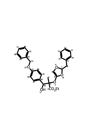 CCOC(=O)C(C)(OC1=COC(Cc2ccccc2)O1)C(O)c1ccc(OCc2ccccc2)cc1